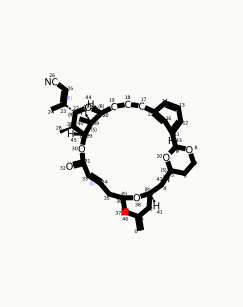 C=C1C[C@@H]2C[C@@H]3CCO[C@@H](O3)c3cccc(c3)CCC[C@H]3O[C@@H](/C(C)=C/C#N)[C@H](C)[C@@H](OC(=O)/C=C/C[C@@H](C1)O2)[C@H]3C